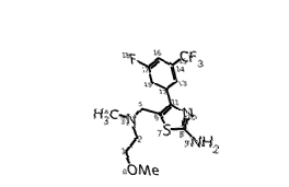 COCCN(C)Cc1sc(N)nc1C1C=C(C(F)(F)F)C=C(F)C1